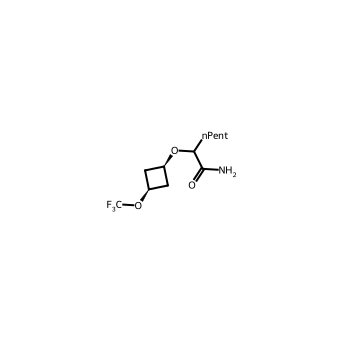 CCCCCC(O[C@H]1C[C@@H](OC(F)(F)F)C1)C(N)=O